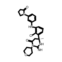 C[C@@]1(c2cccc(Nc3cccc(N4CCCC4=O)c3)c2Cl)CC(=O)N(C2CCOCC2)C(=N)N1